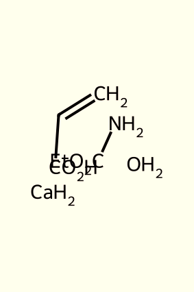 C=CC(=O)O.CCOC(N)=O.O.[CaH2]